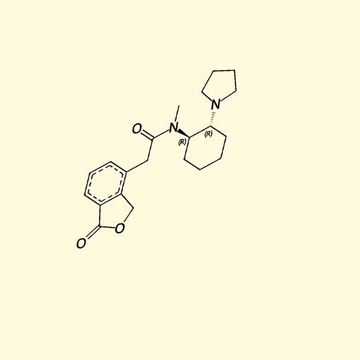 CN(C(=O)Cc1cccc2c1COC2=O)[C@@H]1CCCC[C@H]1N1CCCC1